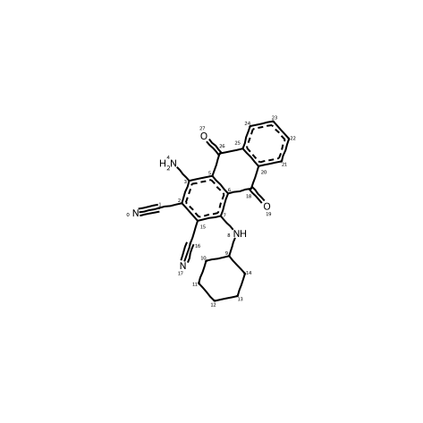 N#Cc1c(N)c2c(c(NC3CCCCC3)c1C#N)C(=O)c1ccccc1C2=O